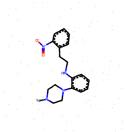 [2H]N1CCN(c2ccccc2NCCc2ccccc2[N+](=O)[O-])CC1